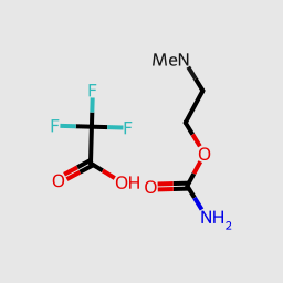 CNCCOC(N)=O.O=C(O)C(F)(F)F